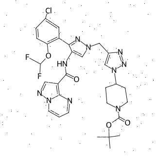 CC(C)(C)OC(=O)N1CCC(n2cc(Cn3cc(NC(=O)c4cnn5cccnc45)c(-c4cc(Cl)ccc4OC(F)F)n3)nn2)CC1